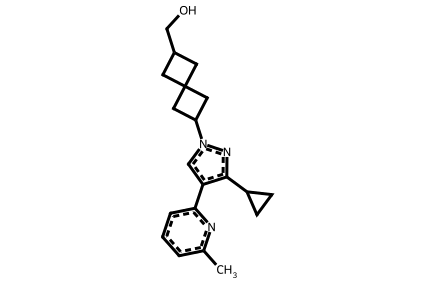 Cc1cccc(-c2cn(C3CC4(CC(CO)C4)C3)nc2C2CC2)n1